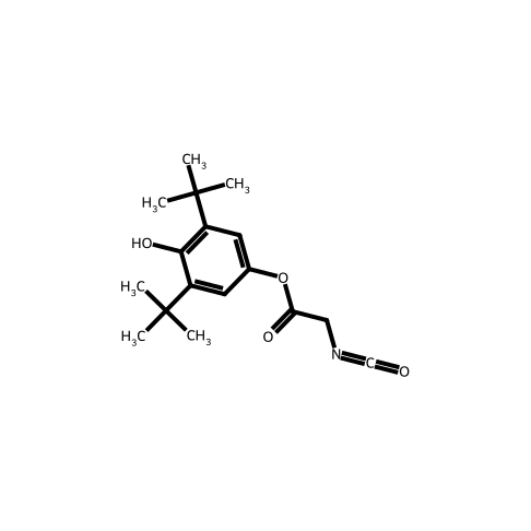 CC(C)(C)c1cc(OC(=O)CN=C=O)cc(C(C)(C)C)c1O